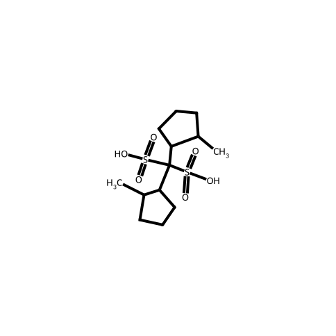 CC1CCCC1C(C1CCCC1C)(S(=O)(=O)O)S(=O)(=O)O